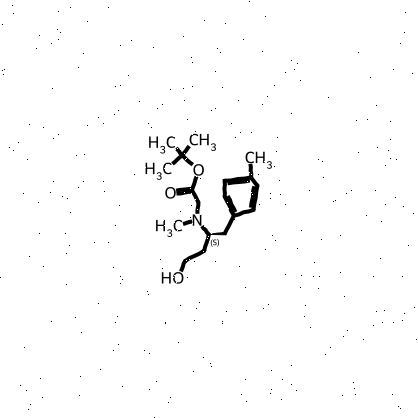 Cc1ccc(C[C@@H](CCO)N(C)CC(=O)OC(C)(C)C)cc1